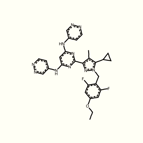 CCOc1cc(F)c(Cn2nc(-c3nc(Nc4ccnnc4)cc(Nc4ccnnc4)n3)c(C)c2C2CC2)c(F)c1